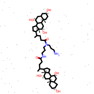 CC(CCC(=O)NCCCN(CCCN)C(=O)CCC(C)C1CCC2C3C(C[C@H](O)[C@]12C)[C@@]1(C)CC[C@@H](O)CC1C[C@H]3O)C1CCC2C3C(C[C@H](O)[C@]12C)[C@@]1(C)CC[C@@H](O)CC1C[C@H]3O